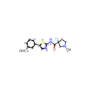 N#CN1CCC(F)(C(=O)Nc2ncc(-c3cccc(C=O)c3)s2)C1